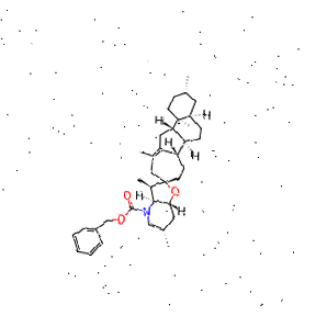 CC1=C2C[C@H]3[C@@H](CC[C@@H]4C[C@@H](C)CC[C@@]43C)[C@@H]2CC[C@@]2(C1)O[C@@H]1C[C@H](C)CN(C(=O)OCc3ccccc3)[C@H]1[C@H]2C